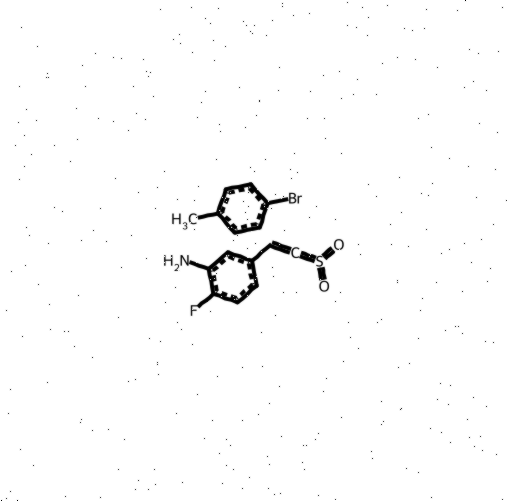 Cc1ccc(Br)cc1.Nc1cc(C=C=S(=O)=O)ccc1F